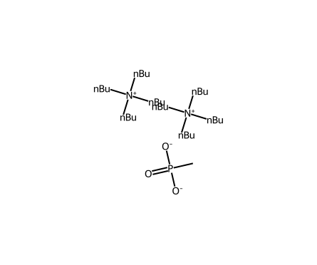 CCCC[N+](CCCC)(CCCC)CCCC.CCCC[N+](CCCC)(CCCC)CCCC.CP(=O)([O-])[O-]